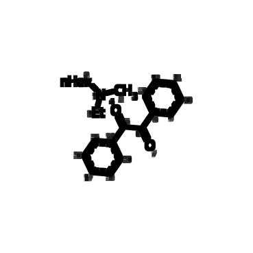 CCCCCCN(C)CC.O=C(C(=O)c1ccccc1)c1ccccc1